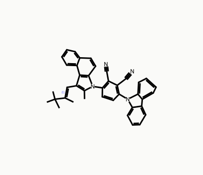 C/C(=C\c1c(C)n(-c2ccc(-n3c4ccccc4c4ccccc43)c(C#N)c2C#N)c2ccc3ccccc3c12)C(C)(C)C